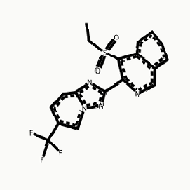 CCS(=O)(=O)c1c(-c2nc3ccc(C(F)(F)F)cn3n2)ncc2ccccc12